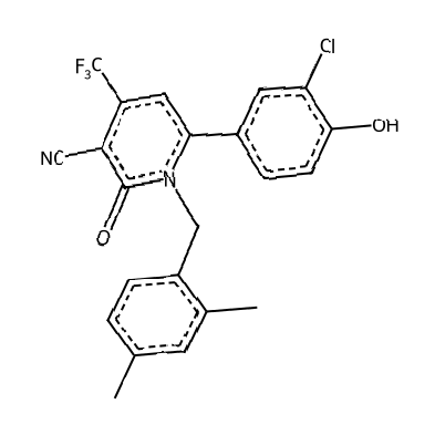 Cc1ccc(Cn2c(-c3ccc(O)c(Cl)c3)cc(C(F)(F)F)c(C#N)c2=O)c(C)c1